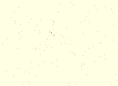 COc1ccc(-n2nc(C#N)c3c2C(=O)N(c2ccc(C4(CN5CCC(O)CC5)CC4)cc2)CC3)cc1